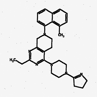 CCc1nc2c(c(N3CCN(C4=NCCC4)CC3)n1)CCN(c1cccc3cccc(C)c13)C2